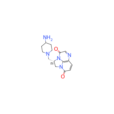 NC1CCN(C[C@H]2Cn3c(=O)ccc4ncc(=O)n2c43)CC1